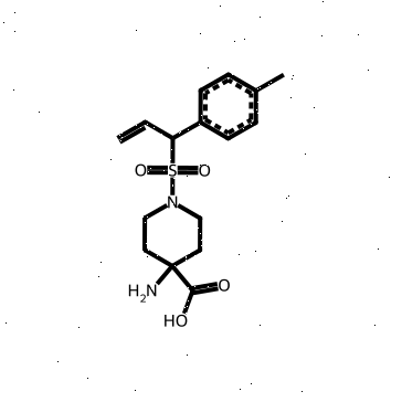 C=CC(c1ccc(C)cc1)S(=O)(=O)N1CCC(N)(C(=O)O)CC1